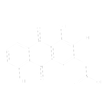 O=C(O)Oc1cc2c(c(O)c1O)C(=O)c1cccc(O)c1C2=O